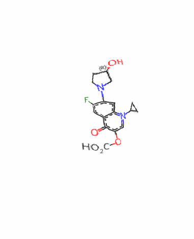 O=C(O)Oc1cn(C2CC2)c2cc(N3CC[C@@H](O)C3)c(F)cc2c1=O